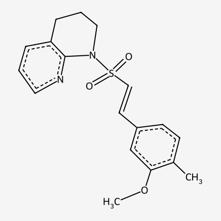 COc1cc(/C=C/S(=O)(=O)N2CCCc3cccnc32)ccc1C